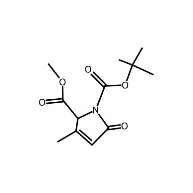 COC(=O)C1C(C)=CC(=O)N1C(=O)OC(C)(C)C